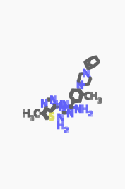 Cc1cc(C2(N)N=C(N)N(c3ncnc4c(C)csc34)N2)ccc1N1CCN(C2CC3CCC2C3)CC1